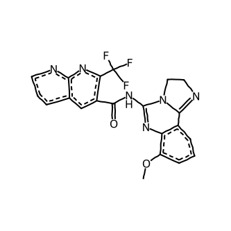 COc1cccc2c1N=C(NC(=O)c1cc3cccnc3nc1C(F)(F)F)N1CCN=C21